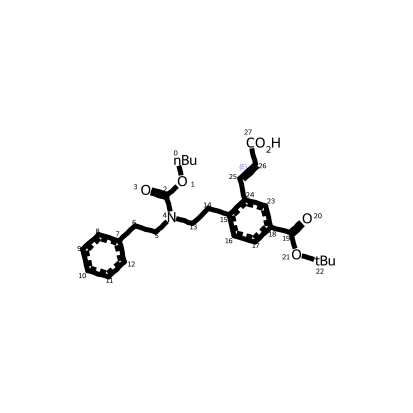 CCCCOC(=O)N(CCc1ccccc1)CCc1ccc(C(=O)OC(C)(C)C)cc1/C=C/C(=O)O